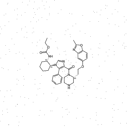 CCOC(=O)N[C@H]1CCCC[C@@H]1n1cnc(C(=O)N2CCNC[C@H]2CCOc2ccc3oc(C)nc3c2)c1-c1ccccc1